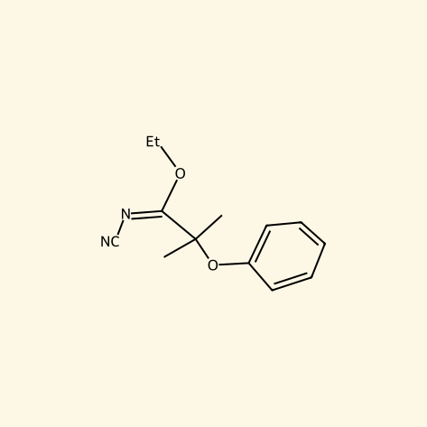 CCO/C(=N/C#N)C(C)(C)Oc1ccccc1